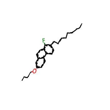 CCCCCCCCCc1ccc2c(ccc3cc(OCCCC)ccc32)c1F